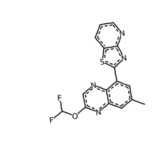 Cc1cc(-c2nc3ncccc3s2)c2ncc(OC(F)F)nc2c1